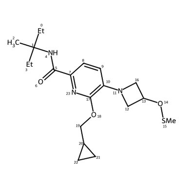 CCC(C)(CC)NC(=O)c1ccc(N2CC(OSC)C2)c(OCC2CC2)n1